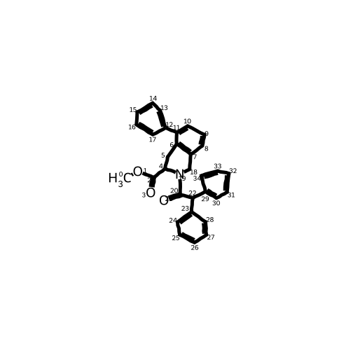 COC(=O)C1Cc2c(cccc2-c2ccccc2)CN1C(=O)C(c1ccccc1)c1ccccc1